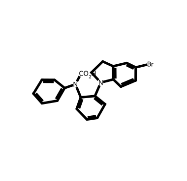 O=C(O)N(c1ccccc1)c1ccccc1N1CCc2cc(Br)ccc21